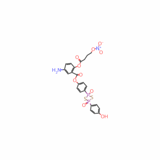 Nc1ccc(OC(=O)CCCO[N+](=O)[O-])c(C(=O)Oc2ccc(P3(=O)SP(=O)(c4ccc(O)cc4)S3)cc2)c1